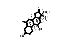 C=C1C[C@H]2[C@@H]3CC(F)=C4CC(O)CC[C@]4(C)[C@@H]3C(O)C[C@]2(C)C1(O)C(=O)O